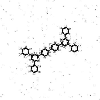 c1ccc(-c2cc(-c3ccccc3)nc(-c3ccc(-c4ccc(-c5nc(-c6ccccc6)cc(-c6ccccc6)n5)cc4)cc3)c2)cc1